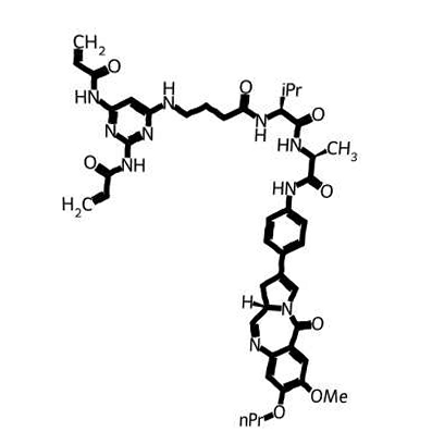 C=CC(=O)Nc1cc(NCCCC(=O)N[C@H](C(=O)N[C@@H](C)C(=O)Nc2ccc(C3=CN4C(=O)c5cc(OC)c(OCCC)cc5N=C[C@@H]4C3)cc2)C(C)C)nc(NC(=O)C=C)n1